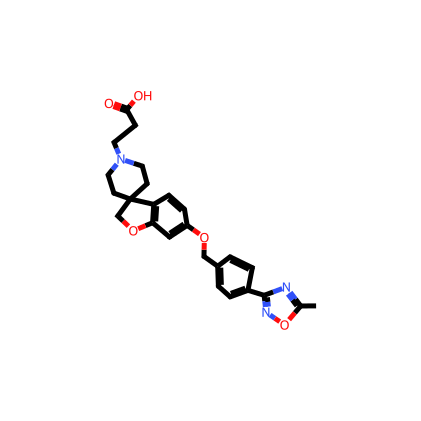 Cc1nc(-c2ccc(COc3ccc4c(c3)OCC43CCN(CCC(=O)O)CC3)cc2)no1